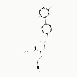 CCOC(=O)[C@H](CCC#N)C[C@H](N)Cc1ccc(-c2cc(Cl)ccc2F)cc1